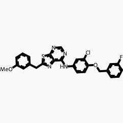 COc1cccc(Cc2nc3c(Nc4ccc(OCc5cccc(F)c5)c(Cl)c4)ncnc3s2)c1